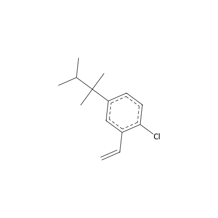 C=Cc1cc(C(C)(C)C(C)C)ccc1Cl